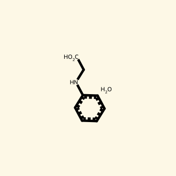 O.O=C(O)CNc1ccccc1